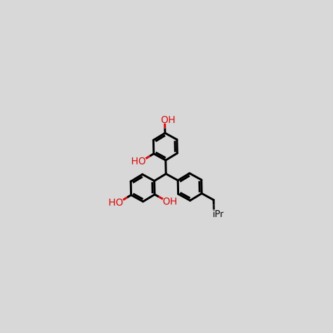 CC(C)Cc1ccc(C(c2ccc(O)cc2O)c2ccc(O)cc2O)cc1